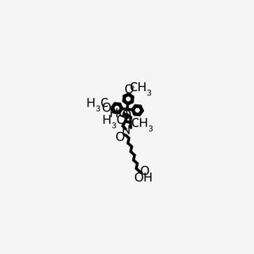 COc1ccc(C(OCC2(C)CN(C(=O)CCCCCCCCC(=O)O)CC2(C)CO)(c2ccccc2)c2ccc(OC)cc2)cc1